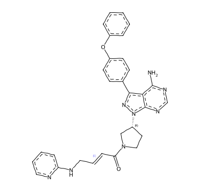 Nc1ncnc2c1c(-c1ccc(Oc3ccccc3)cc1)nn2[C@@H]1CCN(C(=O)/C=C/CNc2ccccn2)C1